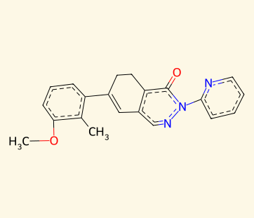 COc1cccc(C2=Cc3cnn(-c4ccccn4)c(=O)c3CC2)c1C